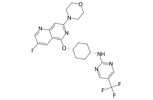 FC(F)(F)c1cnc(N[C@H]2CC[C@@H](Oc3nc(N4CCOCC4)cc4ncc(I)cc34)CC2)nc1